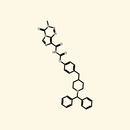 Cn1nnc2c(C(=O)NC(=O)Oc3ccc(CC4CCN(C(c5ccccc5)c5ccccc5)CC4)cc3)ncn2c1=O